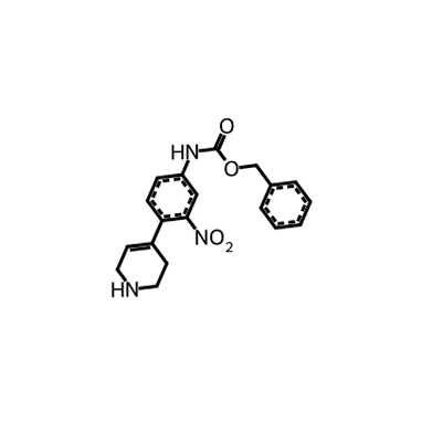 O=C(Nc1ccc(C2=CCNCC2)c([N+](=O)[O-])c1)OCc1ccccc1